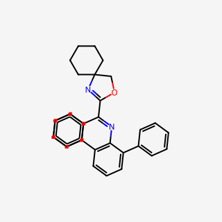 c1ccc(/C(=N\c2c(-c3ccccc3)cccc2-c2ccccc2)C2=NC3(CCCCC3)CO2)cc1